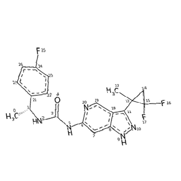 C[C@@H](NC(=O)Nc1cc2[nH]nc(C3(C)CC3(F)F)c2cn1)c1ccc(F)cc1